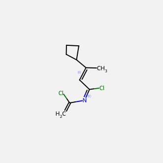 C=C(Cl)/N=C(Cl)\C=C(/C)C1CCC1